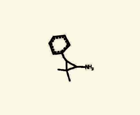 CC1(C)C(N)C1c1ccccc1